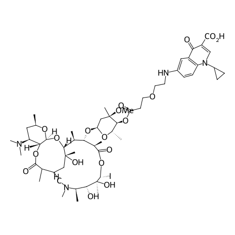 CO[C@]1(C)C[C@H](O[C@H]2[C@H](C)[C@H]3O[C@@H]4O[C@H](C)C[C@H](N(C)C)[C@H]4OC(=O)C(C)[C@@H](CN(C)[C@H](C)[C@@H](O)[C@](C)(O)[C@@H](I)OC(=O)[C@@H]2C)C[C@@]3(C)O)O[C@@H](C)[C@@H]1OC(=O)CCOCCNc1ccc2c(c1)c(=O)c(C(=O)O)cn2C1CC1